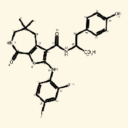 CC1(C)CNC(=O)c2sc(Nc3ccc(I)cc3F)c(C(=O)NC(Cc3ccc(O)cc3)C(=O)O)c2C1